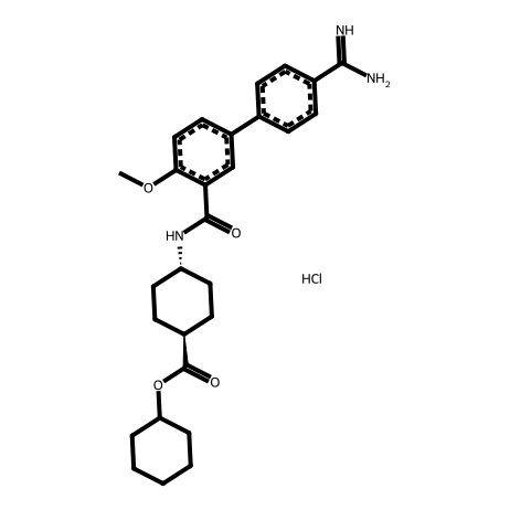 COc1ccc(-c2ccc(C(=N)N)cc2)cc1C(=O)N[C@H]1CC[C@H](C(=O)OC2CCCCC2)CC1.Cl